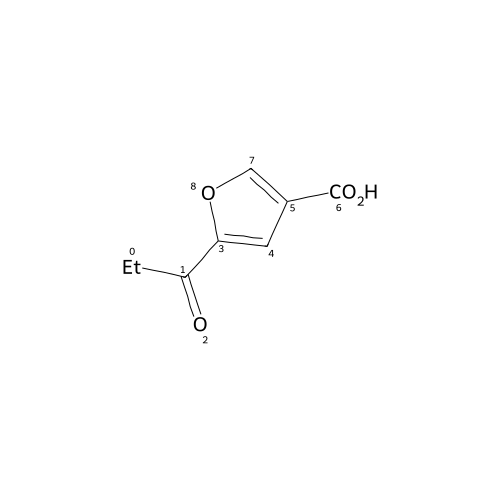 CCC(=O)c1cc(C(=O)O)co1